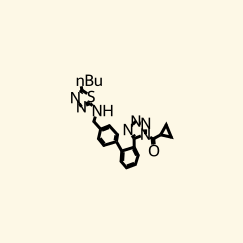 CCCCc1nnc(NCc2ccc(-c3ccccc3-c3nnnn3C(=O)C3CC3)cc2)s1